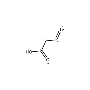 O=C(O)CC=[Te]